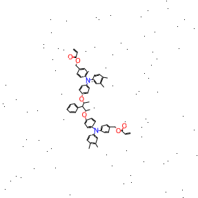 C=CC(=O)OCc1ccc(N(c2ccc(OC(C)C(c3ccccc3)C(C)Oc3ccc(N(c4ccc(COC(=O)C=C)cc4)c4ccc(C)c(C)c4)cc3)cc2)c2ccc(C)c(C)c2)cc1